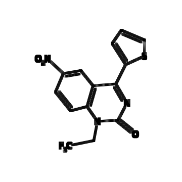 O=c1nc(-c2cccs2)c2cc([N+](=O)[O-])ccc2n1CC(F)(F)F